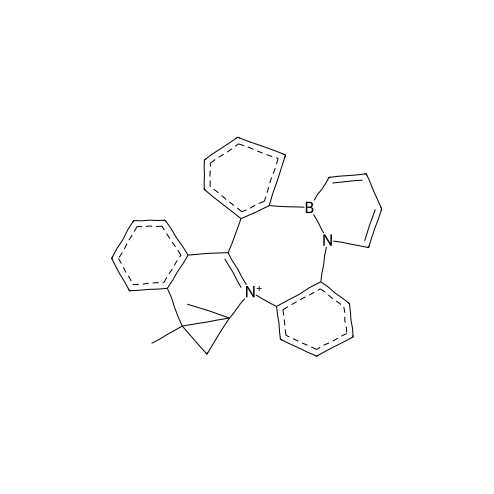 CC12CC1(C)[N+]1=C(c3ccccc3B3C=CC=CN3c3ccccc31)c1ccccc12